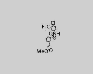 COC(=O)/C=C/c1cccc(S(=O)(=O)Nc2ccc(Cl)c(C(F)(F)F)c2)c1